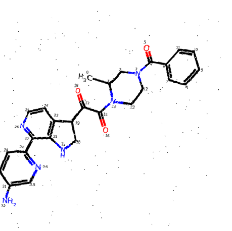 CC1CN(C(=O)c2ccccc2)CCN1C(=O)C(=O)C1CNc2c1ccnc2-c1ccc(N)cn1